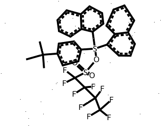 CC(C)(C)c1ccc(S(OS(=O)(=O)C(F)(F)C(F)(F)C(F)(F)C(F)(F)F)(c2cccc3ccccc23)c2cccc3ccccc23)cc1